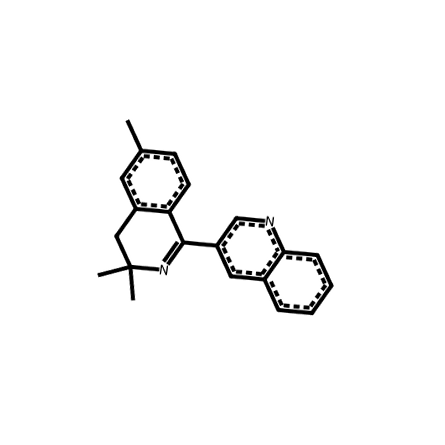 Cc1ccc2c(c1)CC(C)(C)N=C2c1cnc2ccccc2c1